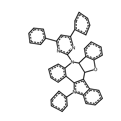 c1ccc(-c2cc(-c3ccccc3)nc(N3c4ccccc4-c4c(c5ccccc5n4-c4ccccc4)C4Oc5ccccc5C43)n2)cc1